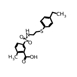 CCc1ccc(SCCNS(=O)(=O)c2ccc(C)c(C(=O)O)c2)cc1